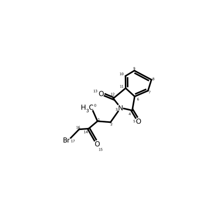 CC(CN1C(=O)c2ccccc2C1=O)C(=O)CBr